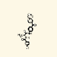 CCN1CCN(C(=O)c2ccc(NC(=O)C(C)NC(=O)c3ccc(Cl)s3)cc2)CC1